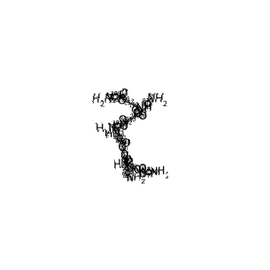 Nc1ccc(CC(NC(=O)CCCCCOC(=O)c2ccc(N)cc2)C(=O)OCCCCCC(=O)Oc2ccc(N)c(Nc3ccc(C(=O)OCCOCC(=O)NC(Cc4ccc(N)cc4)C(=O)OCCOCC(=O)Oc4ccc(N)cc4)cc3)c2)cc1